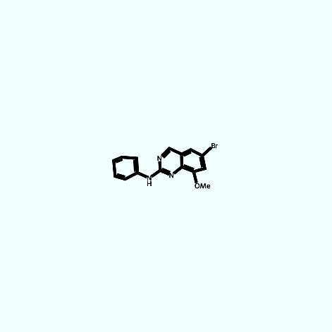 COc1cc(Br)cc2cnc(Nc3ccccc3)nc12